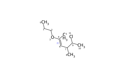 CCCO/C(C)=C/C(C)C(C)Cl